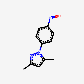 Cc1cc(C)n(-c2ccc(N=O)cc2)n1